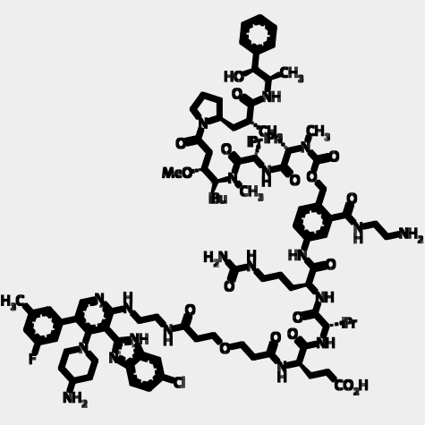 CC[C@H](C)[C@@H]([C@@H](CC(=O)N1CCC[C@H]1C[C@@H](C)C(=O)N[C@H](C)[C@@H](O)c1ccccc1)OC)N(C)C(=O)[C@@H](NC(=O)[C@H](C(C)C)N(C)C(=O)OCc1ccc(NC(=O)[C@H](CCCNC(N)=O)NC(=O)[C@@H](NC(=O)[C@@H](CCC(=O)O)NC(=O)CCOCCC(=O)NCCNc2ncc(-c3cc(C)cc(F)c3)c(N3CCC(N)CC3)c2-c2nc3ccc(Cl)cc3[nH]2)C(C)C)cc1C(=O)NCCN)C(C)C